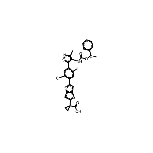 Cc1nsc(-c2cc(Cl)c(-c3cc4sc(C5(C(=O)O)CC5)cc4s3)cc2F)c1NC(=O)O[C@H](C)c1ccccc1